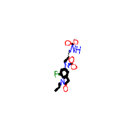 CCCN1C(=O)Cc2cc(N3C[C@H](CNC(=O)OC)OC3=O)cc(F)c21